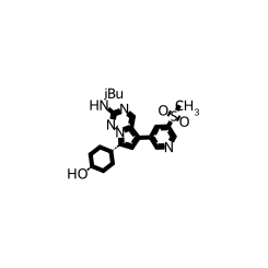 CC[C@H](C)Nc1ncc2c(-c3cncc(S(C)(=O)=O)c3)cc([C@H]3CC[C@@H](O)CC3)n2n1